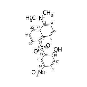 CN(C)c1cccc2c(S(=O)(=O)c3cc([N+](=O)[O-])ccc3O)cccc12